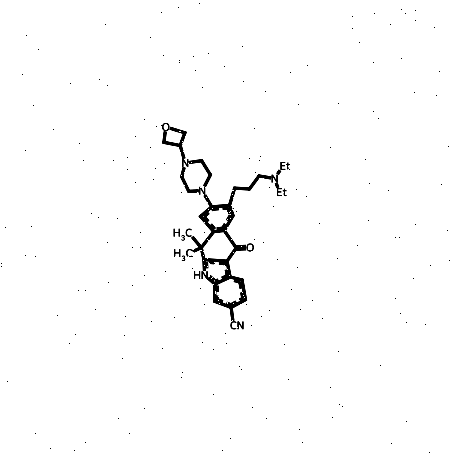 CCN(CC)CCCc1cc2c(cc1N1CCN(C3COC3)CC1)C(C)(C)c1[nH]c3cc(C#N)ccc3c1C2=O